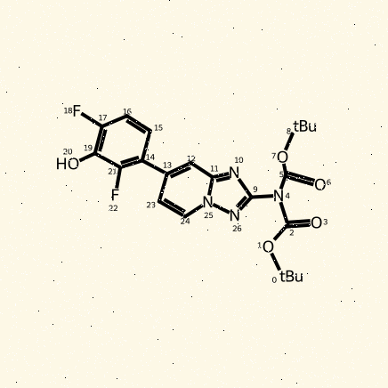 CC(C)(C)OC(=O)N(C(=O)OC(C)(C)C)c1nc2cc(-c3ccc(F)c(O)c3F)ccn2n1